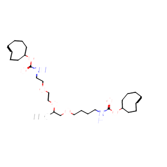 CC(COCCCCNC(=O)OC1CC/C=C/CCC1)OCCOCCNC(=O)OC1CC/C=C/CCC1